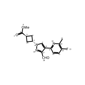 COC(=O)[C@H]1C[C@H](n2cc(-c3ccc(F)c(C)n3)c(C=O)n2)C1